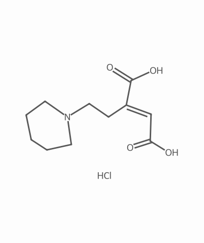 Cl.O=C(O)/C=C(\CCN1CCCCC1)C(=O)O